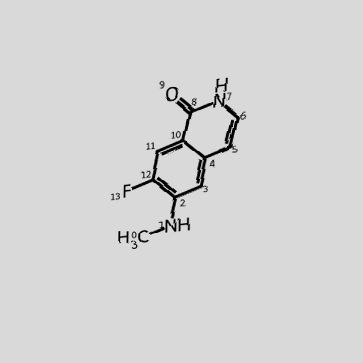 CNc1cc2cc[nH]c(=O)c2cc1F